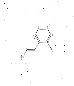 CC/C=C/c1ccccc1I